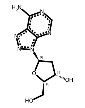 Nc1ncnc2c1nnn2[C@H]1C[C@H](O)[C@@H](CO)O1